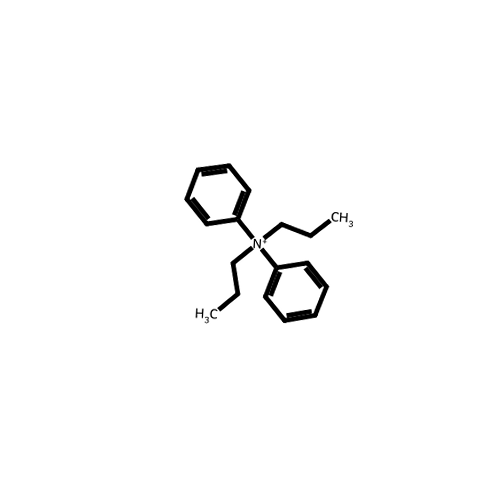 CCC[N+](CCC)(c1ccccc1)c1ccccc1